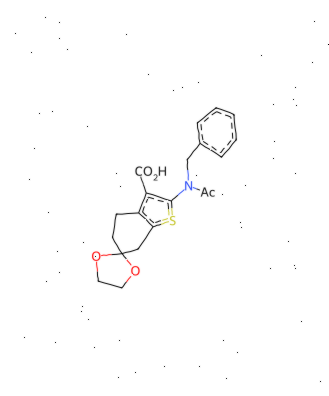 CC(=O)N(Cc1ccccc1)c1sc2c(c1C(=O)O)CCC1(C2)OCCO1